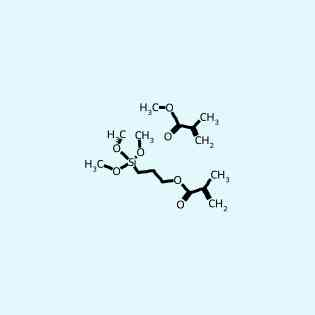 C=C(C)C(=O)OC.C=C(C)C(=O)OCCC[Si](OC)(OC)OC